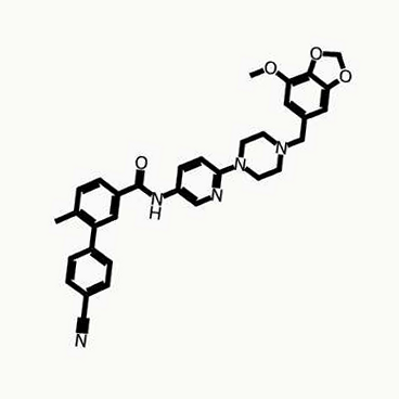 COc1cc(CN2CCN(c3ccc(NC(=O)c4ccc(C)c(-c5ccc(C#N)cc5)c4)cn3)CC2)cc2c1OCO2